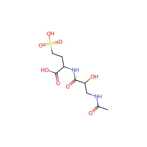 CC(=O)NCC(O)C(=O)NC(CCS(=O)(=O)O)C(=O)O